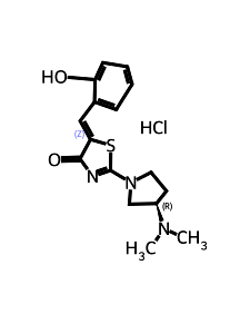 CN(C)[C@@H]1CCN(C2=NC(=O)/C(=C/c3ccccc3O)S2)C1.Cl